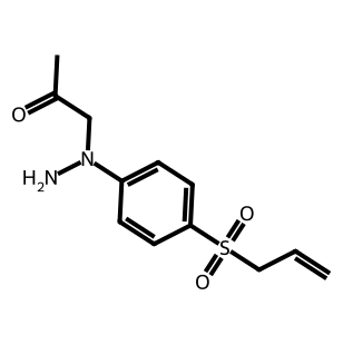 C=CCS(=O)(=O)c1ccc(N(N)CC(C)=O)cc1